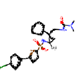 CN(C)C(=O)NCC1(c2ccccc2)CC1(NS(=O)(=O)c1ccc(-c2ccc(Cl)cc2)s1)C(=O)O